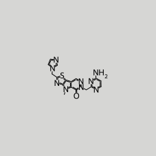 Cn1c2nc(Cn3ccnc3)sc2c2cnn(Cc3nccc(N)n3)c(=O)c21